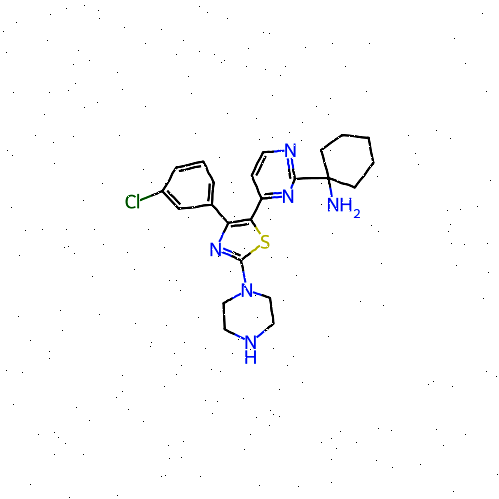 NC1(c2nccc(-c3sc(N4CCNCC4)nc3-c3cccc(Cl)c3)n2)CCCCC1